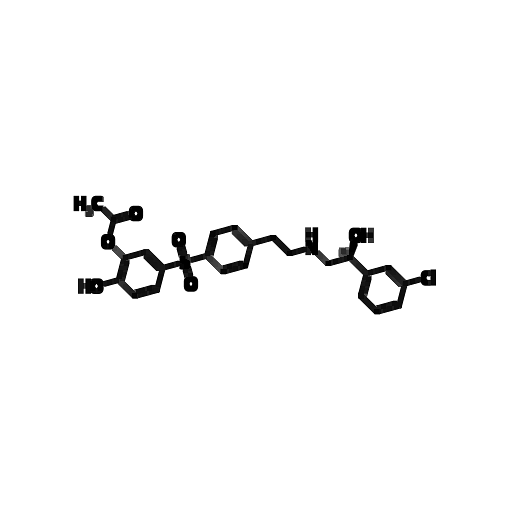 CC(=O)Oc1cc(S(=O)(=O)c2ccc(CCNC[C@@H](O)c3cccc(Cl)c3)cc2)ccc1O